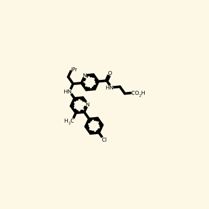 Cc1cc(NC(CC(C)C)c2ccc(C(=O)NCCC(=O)O)cn2)cnc1-c1ccc(Cl)cc1